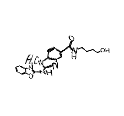 Cn1c(Nc2nc3ccccc3o2)nc2cc(C(=O)NCCCCO)ccc21